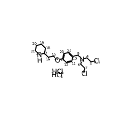 Cl.Cl.ClCCN(CCCl)Cc1ccc(OCCC2CCCCN2)cc1